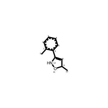 Cc1ccccc1C1=CC(C)ON1